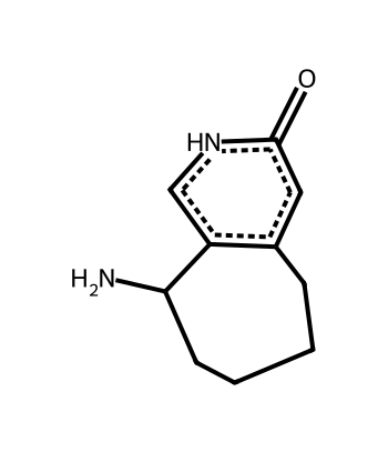 NC1CCCCc2cc(=O)[nH]cc21